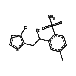 CCC(Cc1sccc1Cl)c1cc(C)ccc1S(N)(=O)=O